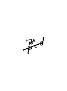 CCCCCCCCC(CCC)OC(=O)CCCCCCCC(=O)CCCCCCCC(=O)OC(CCCCCCCC)CCCCCCCC.CCN=C=NCCCN(C)C.Cl